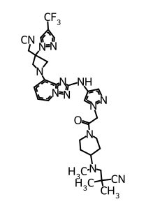 CN(CC(C)(C)C#N)C1CCN(C(=O)Cn2cc(Nc3nc4c(N5CC(CC#N)(n6cc(C(F)(F)F)cn6)C5)cccn4n3)cn2)CC1